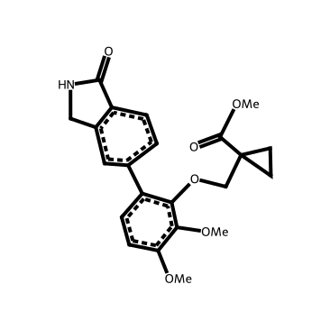 COC(=O)C1(COc2c(-c3ccc4c(c3)CNC4=O)ccc(OC)c2OC)CC1